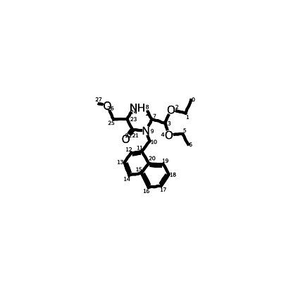 CCOC(OCC)C(C)N(Cc1cccc2ccccc12)C(=O)C(N)COC